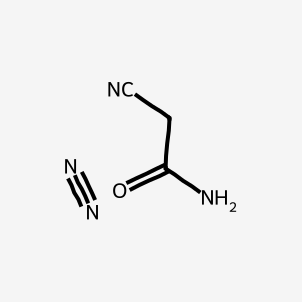 N#CCC(N)=O.N#N